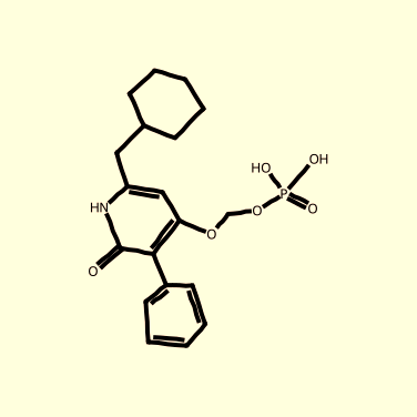 O=c1[nH]c(CC2CCCCC2)cc(OCOP(=O)(O)O)c1-c1ccccc1